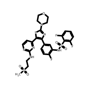 CS(=O)(=O)CCNc1nccc(-c2sc(N3CCOCC3)nc2-c2ccc(F)c(NS(=O)(=O)c3c(F)cccc3F)c2)n1